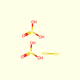 O=S(O)O.O=S(O)O.SS